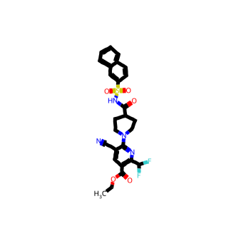 CCOC(=O)c1cc(C#N)c(N2CCC(C(=O)NS(=O)(=O)c3ccc4ccccc4c3)CC2)nc1C(F)F